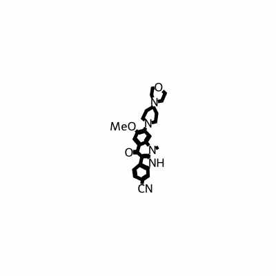 COc1cc2c(=O)c3c4ccc(C#N)cc4[nH]c3n(C)c2cc1N1CCC(N2CCOCC2)CC1